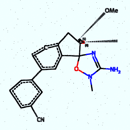 CO[C@H]1CC2(Cc3ccc(-c4cccc(C#N)c4)cc3C23N=C(N)N(C)O3)C[C@H]1C